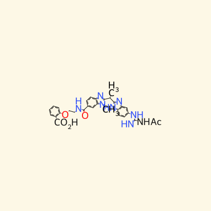 CC(=O)NC(=N)Nc1ccc2[nH]c(C(C)c3nc4ccc(C(=O)NCCOc5ccccc5C(=O)O)cc4n3C)nc2c1